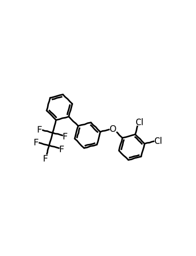 FC(F)(F)C(F)(F)c1ccccc1-c1cccc(Oc2cccc(Cl)c2Cl)c1